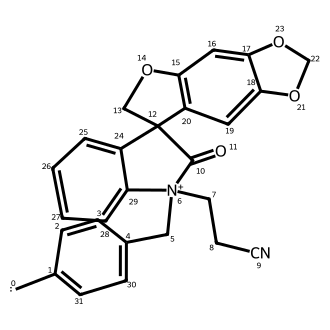 [CH]c1ccc(C[N+]2(CCC#N)C(=O)C3(COc4cc5c(cc43)OCO5)c3ccccc32)cc1